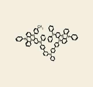 Cc1ccc(N2c3cc(N(c4ccccc4)c4ccc(-c5cccc(N(c6ccccc6)c6ccc(-c7ccc(N8c9cc(N(c%10ccccc%10)c%10ccccc%10)ccc9B9c%10ccccc%10N(c%10ccccc%10)c%10cccc8c%109)cc7)cc6)c5)cc4)ccc3B3c4ccccc4N(c4ccccc4)c4cccc2c43)cc1